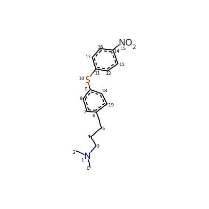 CN(C)CCCc1ccc(Sc2ccc([N+](=O)[O-])cc2)cc1